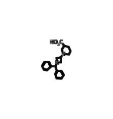 O=C(O)C1CCCN(C2CN(C(c3ccccc3)c3ccccc3)C2)C1